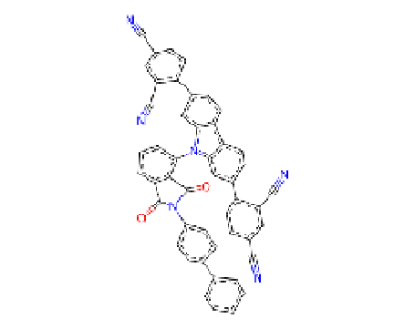 N#Cc1ccc(-c2ccc3c4ccc(-c5ccc(C#N)cc5C#N)cc4n(-c4cccc5c4C(=O)N(c4ccc(-c6ccccc6)cc4)C5=O)c3c2)c(C#N)c1